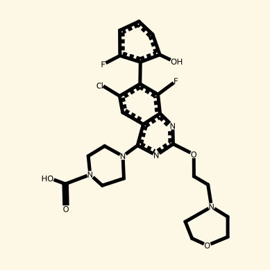 O=C(O)N1CCN(c2nc(OCCN3CCOCC3)nc3c(F)c(-c4c(O)cccc4F)c(Cl)cc23)CC1